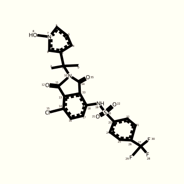 CC(C)(c1ccc[n+](O)c1)N1C(=O)c2c(Cl)ccc(NS(=O)(=O)c3ccc(C(F)(F)F)cc3)c2C1=O